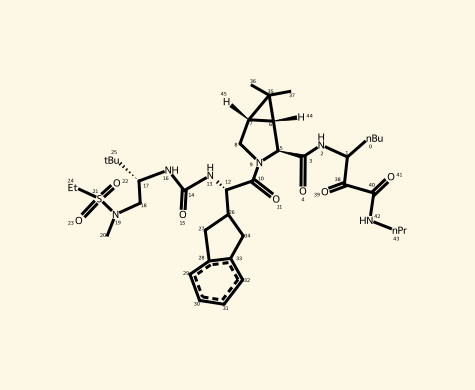 CCCCC(NC(=O)[C@@H]1[C@@H]2[C@H](CN1C(=O)[C@@H](NC(=O)N[C@H](CN(C)S(=O)(=O)CC)C(C)(C)C)C1Cc3ccccc3C1)C2(C)C)C(=O)C(=O)NCCC